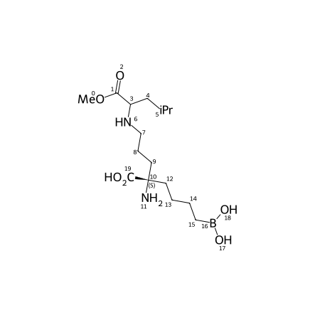 COC(=O)C(CC(C)C)NCCC[C@@](N)(CCCCB(O)O)C(=O)O